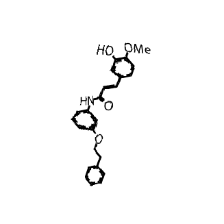 COc1ccc(C=CC(=O)Nc2cccc(OCCc3ccccc3)c2)cc1O